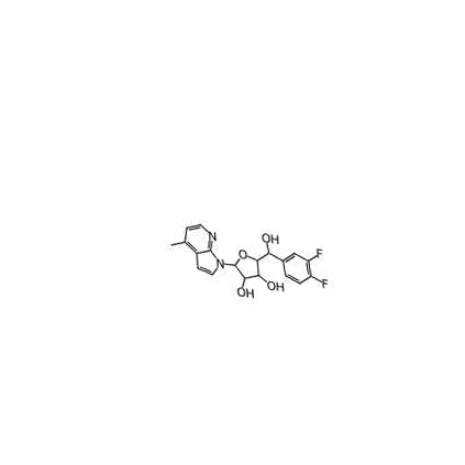 Cc1ccnc2c1ccn2C1OC(C(O)c2ccc(F)c(F)c2)C(O)C1O